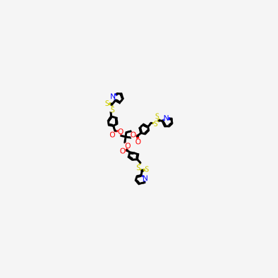 CCC(COC(=O)c1ccc(CSC(=S)c2ccccn2)cc1)(COC(=O)c1ccc(CSC(=S)c2ccccn2)cc1)COC(=O)c1ccc(CSC(=S)c2ccccn2)cc1